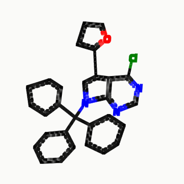 Clc1ncnc2c1c(-c1ccco1)cn2C(c1ccccc1)(c1ccccc1)c1ccccc1